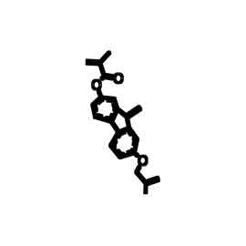 C=C(C)COc1ccc2c(c1)C(=C)c1cc(OC(=O)C(=C)C)ccc1-2